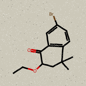 CCOC1CC(C)(C)c2ccc(Br)cc2C1=O